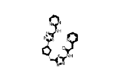 O=C(Cc1ccccn1)Nc1nnc(C[C@@H]2CC[C@H](c3nnc(Nc4ncccn4)s3)C2)s1